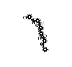 O=C(/C=C/c1ccccc1)c1cccc(NC(=O)c2ccc(Oc3cccc(C(=O)Nc4cccc(C(=O)/C=C/c5cccc(Cl)c5)c4)c3)cc2)c1